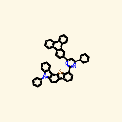 c1ccc(-c2cc(-c3ccc4c5ccccc5c5ccccc5c4c3)nc(-c3cccc4c3sc3c4ccc4c3c3ccccc3n4-c3ccccc3)n2)cc1